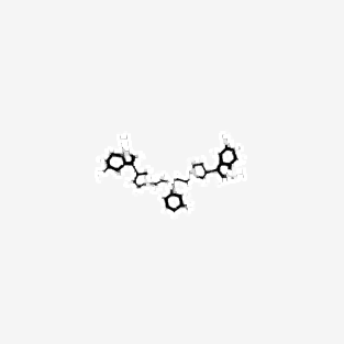 Fc1cccc(N(CCN2CCC(c3c[nH]c4ccc(F)cc34)C2)CCN2CCC(c3c[nH]c4ccc(F)cc34)C2)c1